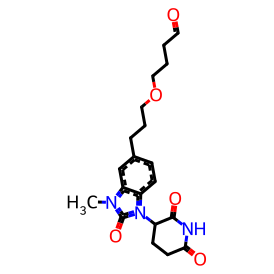 Cn1c(=O)n(C2CCC(=O)NC2=O)c2ccc(CCCOCCCC=O)cc21